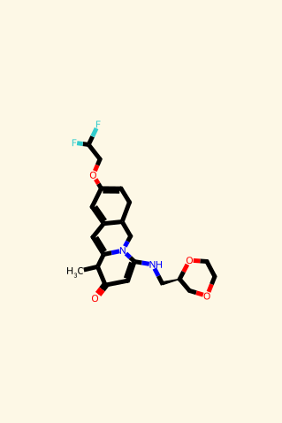 CC1C(=O)C=C(NC[C@@H]2COCCO2)N2CC3CC=C(OCC(F)F)C=C3C=C12